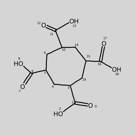 O=C(O)C1CC(C(=O)O)CC(C(=O)O)CC(C(=O)O)C1